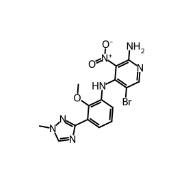 COc1c(Nc2c(Br)cnc(N)c2[N+](=O)[O-])cccc1-c1ncn(C)n1